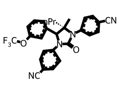 CCC[C@@]1(C)C(c2cccc(OC(F)(F)F)c2)N(c2ccc(C#N)cc2)C(=O)N1c1ccc(C#N)cc1